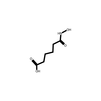 O=C(O)CCCCC(=O)NO